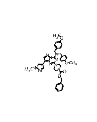 COc1ccc(CN(Cc2ccc(OC)cc2)c2nc(N3CCN(C(=O)OCc4ccccc4)CC3)nc3c(-c4cnn(C)c4)cnn23)cc1